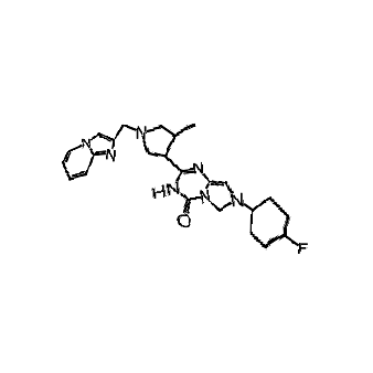 CC1CN(Cc2cn3ccccc3n2)CC1C1=NC2=CN(C3CCC(F)CC3)CN2C(=O)N1